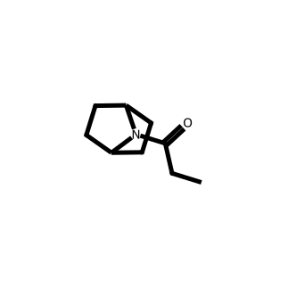 CCC(=O)N1C2CCC1CC2